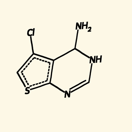 NC1NC=Nc2scc(Cl)c21